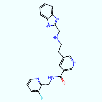 O=C(NCc1ncccc1F)c1cncc(CCNCc2nc3ccccc3[nH]2)c1